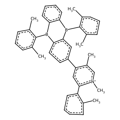 Cc1c[n+](C)c(-c2ccccc2C)cc1-c1ccc2c(c1)B(c1c(C)cccc1C)c1ccccc1B2c1c(C)cccc1C